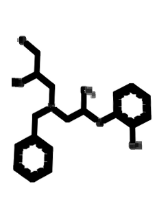 CC(CN(Cc1ccccc1)CC(O)C[O])Oc1ccccc1O